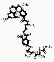 CC(C)[C@H](NC(=O)OC(C)(C)C)C(=O)N[C@@H](C)C(=O)Nc1ccc2c(c1)C(=O)N(CCC[C@@H](C)NC(=O)c1ccc(N(C=O)Cc3cnc4nc(N)nc(N)c4n3)cc1)C2=O